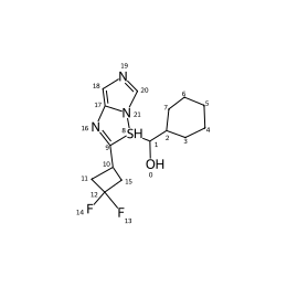 OC(C1CCCCC1)[SH]1C(C2CC(F)(F)C2)=Nc2cncn21